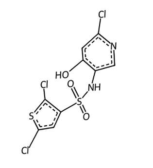 O=S(=O)(Nc1cnc(Cl)cc1O)c1cc(Cl)sc1Cl